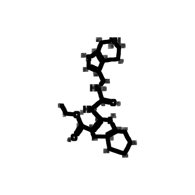 CCOC(=O)C1=C(NC(=O)NCc2csc3c2CCNC3)SC2=C(CCCC2)C1